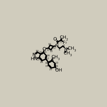 C=C(F)C(=O)N(CCN(C)C)C1CC(Oc2cc(-c3ccc(O)cc3C)cc3[nH]ncc23)C1